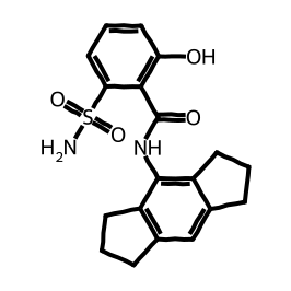 NS(=O)(=O)c1cccc(O)c1C(=O)Nc1c2c(cc3c1CCC3)CCC2